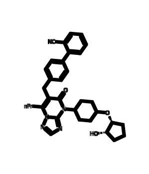 CCCc1c(Cc2ccc(-c3ccccc3C#N)cc2)c(=O)n(C2CCC(O[C@@H]3CCC[C@@H]3O)CC2)c2ncnn12